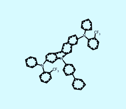 FC(F)(F)c1ccccc1N(c1ccccc1)c1ccc2cc3c4ccc(N(c5ccccc5)c5ccccc5C(F)(F)F)cc4n(-c4ccc(-c5ccccc5)cc4)c3cc2c1